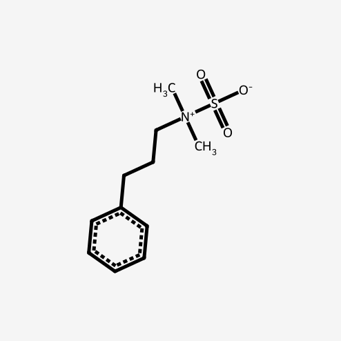 C[N+](C)(CCCc1ccccc1)S(=O)(=O)[O-]